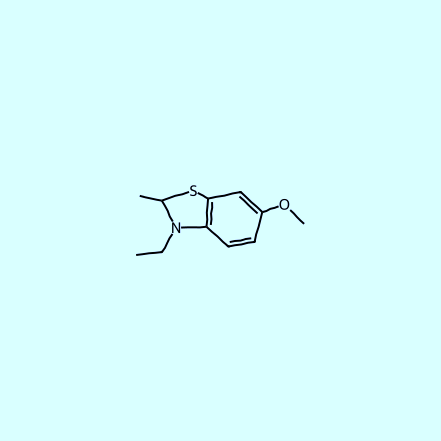 CCN1c2ccc(OC)cc2SC1C